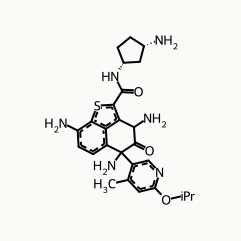 Cc1cc(OC(C)C)ncc1C1(N)C(=O)C(N)c2c(C(=O)N[C@@H]3CC[C@H](N)C3)sc3c(N)ccc1c23